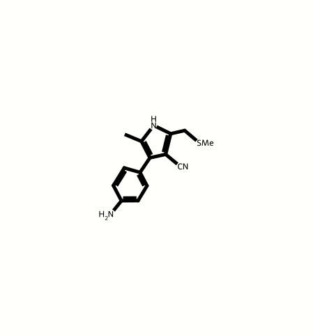 CSCc1[nH]c(C)c(-c2ccc(N)cc2)c1C#N